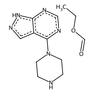 CCOC=O.c1nc(N2CCNCC2)c2cn[nH]c2n1